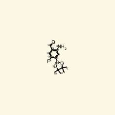 CC1(C)OB(c2cc(N)c(C=O)cc2F)OC1(C)C